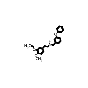 CCOc1cc(CCNCc2cccc(Oc3ccccc3)c2)ccc1OC